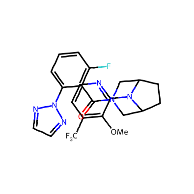 COc1c(C(F)(F)F)ccnc1N1C2CCC1CN(C(=O)c1c(F)cccc1-n1nccn1)C2